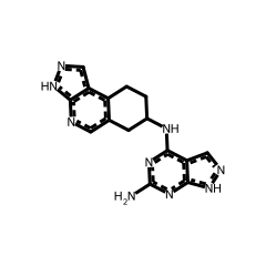 Nc1nc(NC2CCc3c(cnc4[nH]ncc34)C2)c2cn[nH]c2n1